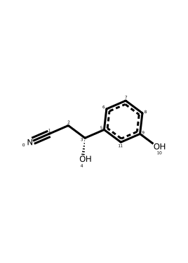 N#CC[C@@H](O)c1cccc(O)c1